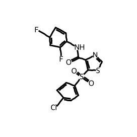 O=C(Nc1ccc(F)cc1F)c1ncsc1S(=O)(=O)c1ccc(Cl)cc1